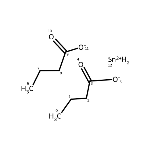 CCCC(=O)[O-].CCCC(=O)[O-].[SnH2+2]